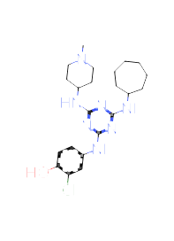 CN1CCC(Nc2nc(Nc3ccc(O)c(Cl)c3)nc(NC3CCCCCC3)n2)CC1